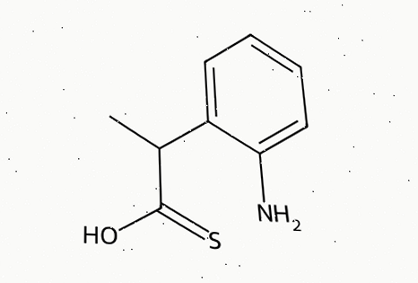 CC(C(O)=S)c1ccccc1N